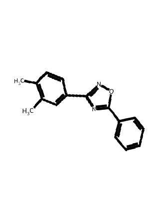 Cc1ccc(-c2noc(-c3ccccc3)n2)cc1C